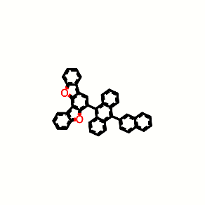 c1ccc2cc(-c3c4ccccc4c(-c4cc5c6ccccc6oc5c5c4oc4ccccc45)c4ccccc34)ccc2c1